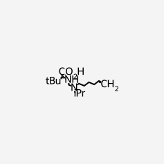 C=CCCCCN(CN[C@H](C(=O)O)C(C)(C)C)C(C)C